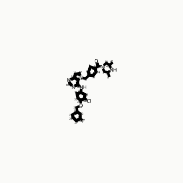 CC1CN(C(=O)c2ccc(Cn3ccc4ncnc(Nc5ccc(OCc6cccc(F)c6)c(Cl)c5)c43)cc2)CC(C)N1